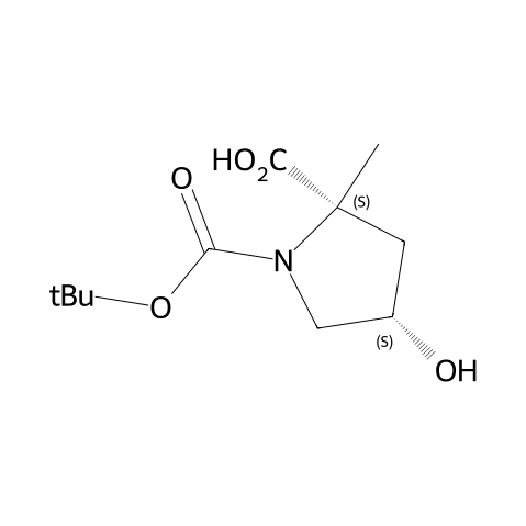 CC(C)(C)OC(=O)N1C[C@@H](O)C[C@@]1(C)C(=O)O